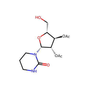 CC(=O)O[C@H]1[C@H](OC(C)=O)[C@@H](CO)O[C@H]1N1CCCNC1=O